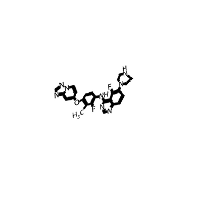 Cc1c(Oc2ccn3ncnc3c2)ccc(Nc2ncnc3ccc(N4CCNCC4)c(F)c23)c1F